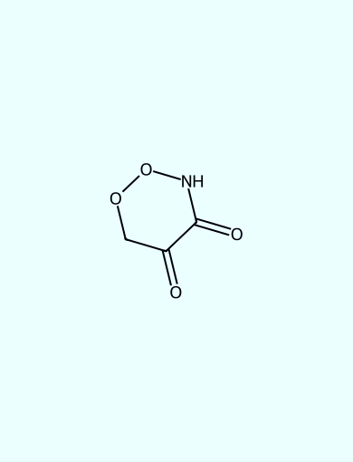 O=C1COONC1=O